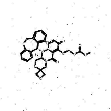 COC(=O)OCOc1c2n(ccc1=O)N([C@@H]1c3ccccc3SCc3cccc(Cl)c31)[C@@H]1COC3(COC3)CN1C2=O